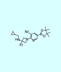 CCC1(NCC2CC2)CN(c2ncc(B3OC(C)(C)C(C)(C)O3)cc2C#N)C1